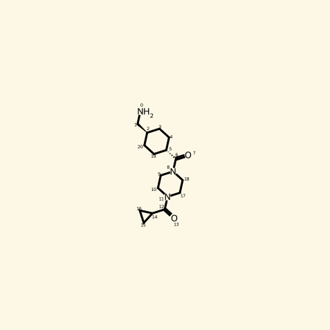 NC[C@H]1CC[C@H](C(=O)N2CCN(C(=O)C3CC3)CC2)CC1